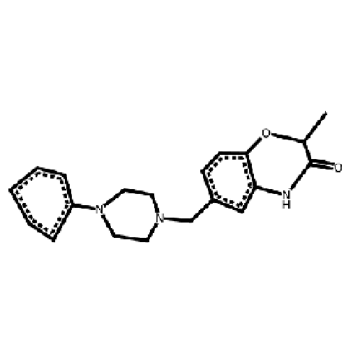 CC1Oc2ccc(CN3CCN(c4ccccc4)CC3)cc2NC1=O